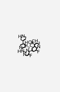 CC(C)(O)c1ccnc2c(F)cc(-c3nc(Nc4ccc(C5=CCNCC5)cn4)ncc3F)cc12